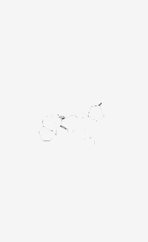 C[C@@H](CS[C@H]1CC(=O)C[C@@H]1O[Si](C)(C)C(C)(C)C)C(=O)N1CCCC1C(=O)O